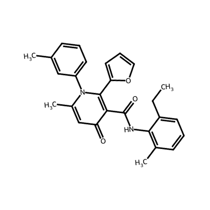 CCc1cccc(C)c1NC(=O)c1c(-c2ccco2)n(-c2cccc(C)c2)c(C)cc1=O